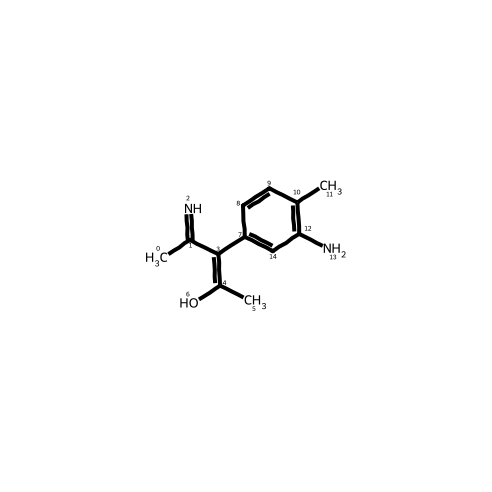 CC(=N)/C(=C(/C)O)c1ccc(C)c(N)c1